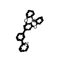 O=P12c3ccccc3Oc3cc(-c4cccc(-c5ccccn5)c4)cc(c31)Oc1ccccc12